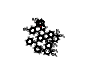 Cc1ccc2sc3c(c2c1)N(c1ccc(C(C)(C)C)cc1-c1ccccc1)c1cc(N(c2ccccc2)c2ccccc2)cc2c1B3c1ccc3c(c1N2c1ccc2c(c1)C(C)(C)CCC2(C)C)C(C)(C)CCC3(C)C